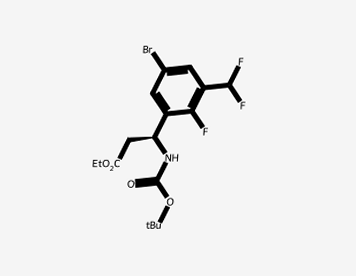 CCOC(=O)C[C@H](NC(=O)OC(C)(C)C)c1cc(Br)cc(C(F)F)c1F